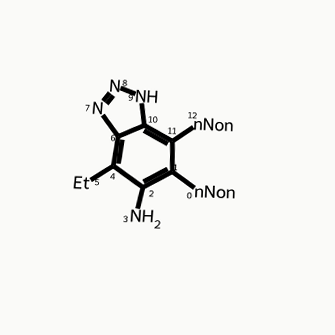 CCCCCCCCCc1c(N)c(CC)c2nn[nH]c2c1CCCCCCCCC